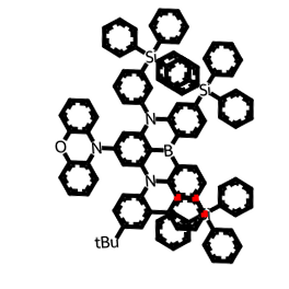 CC(C)(C)c1ccc(N2c3cc([Si](c4ccccc4)(c4ccccc4)c4ccccc4)ccc3B3c4ccc([Si](c5ccccc5)(c5ccccc5)c5ccccc5)cc4N(c4cccc([Si](c5ccccc5)(c5ccccc5)c5ccccc5)c4)c4cc(N5c6ccccc6Oc6ccccc65)cc2c43)c(-c2ccccc2)c1